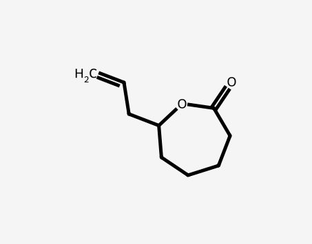 C=CCC1CCCCC(=O)O1